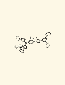 Cc1cc(-c2cc(C3CCCCC3)cc(C3CCCCC3)c2)ccc1-c1ccc(N(c2cccc(C3CCCCC3)c2)c2ccc3c(c2)C(C)(C)c2ccccc2-3)cc1